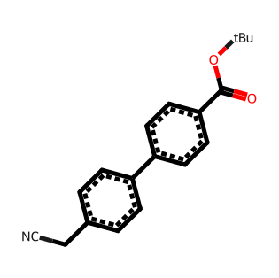 CC(C)(C)OC(=O)c1ccc(-c2ccc(CC#N)cc2)cc1